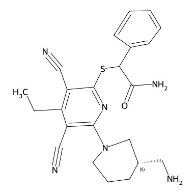 CCc1c(C#N)c(SC(C(N)=O)c2ccccc2)nc(N2CCC[C@@H](CN)C2)c1C#N